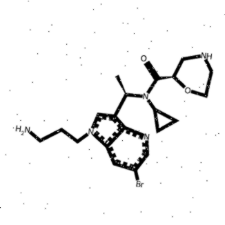 C[C@H](c1cn(CCCN)c2cc(Br)cnc12)N(C(=O)[C@H]1CNCCO1)C1CC1